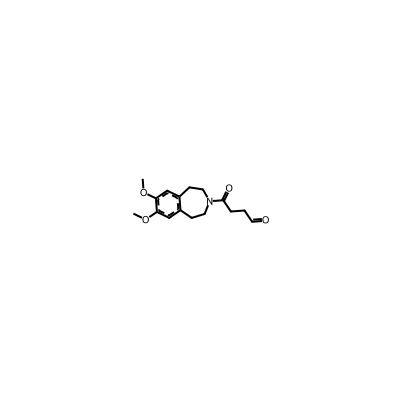 COc1cc2c(cc1OC)CCN(C(=O)CCC=O)CC2